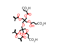 C=C(C)C(=O)OCC(COCC(COC(=O)CCC(=O)O)(COC(=O)C(=C)C)COC(O)CCC(=O)O)(COC(=O)CCC(=O)O)COC(=O)C(=C)C